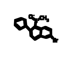 C[S+]([O-])c1c(-c2ccccc2)ccc2cc(Br)ccc12